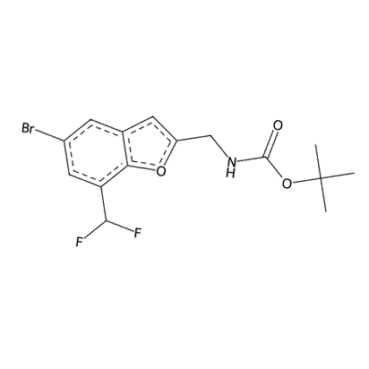 CC(C)(C)OC(=O)NCc1cc2cc(Br)cc(C(F)F)c2o1